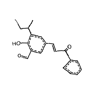 CCC(C)c1cc(C=CC(=O)c2ccccc2)cc(C=O)c1O